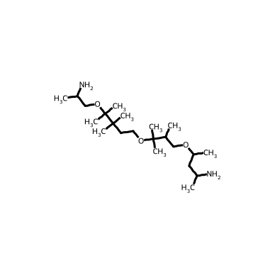 CC(N)COC(C)(C)C(C)(C)CCOC(C)(C)C(C)COC(C)CC(C)N